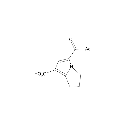 CC(=O)C(=O)c1cc(C(=O)O)c2n1CCC2